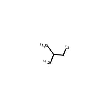 [CH2]CCC([SiH3])[SiH3]